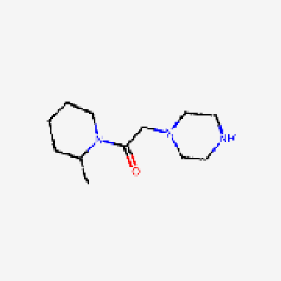 CC1CCCCN1C(=O)CN1CCNCC1